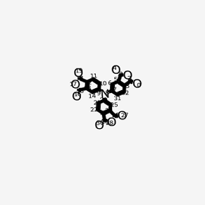 O=C1OC(=O)c2cc(N(c3ccc4c(c3)C(=O)OC4=O)c3ccc4c(c3)C(=O)OC4=O)ccc21